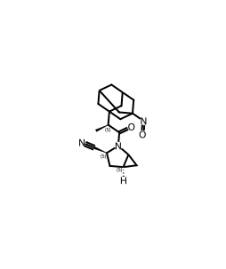 C[C@H](C(=O)N1C2C[C@H]2C[C@H]1C#N)C12CC3CC(CC(N=O)(C3)C1)C2